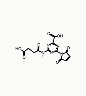 O=C(O)CCC(=O)Nc1nc(C(=O)O)nc(N2C(=O)C=CC2=O)n1